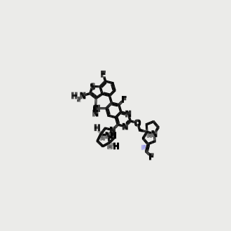 N#Cc1c(N)sc2c(F)ccc(-c3c(Cl)cc4c(N5C[C@H]6CC[C@@H](C5)N6)nc(OC[C@@]56CCCN5C/C(=C\F)C6)nc4c3F)c12